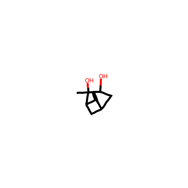 C=C1C2CC(O)C(C)(O)C1C2